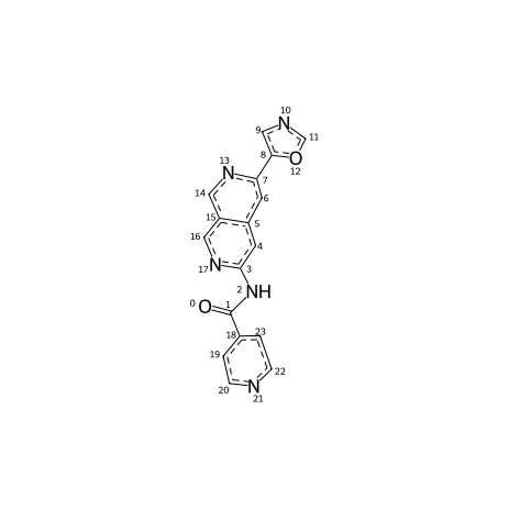 O=C(Nc1cc2cc(-c3cnco3)ncc2cn1)c1ccncc1